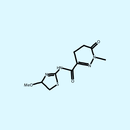 COC1CSC(NC(=O)C2=NN(C)C(=O)CC2)=N1